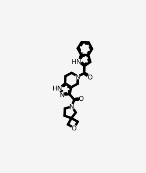 O=C(c1cc2ccccc2[nH]1)N1CCc2[nH]nc(C(=O)N3CCC4(COC4)C3)c2C1